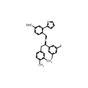 Cc1ccc(CC(=C=Cc2ccc(C=O)cc2-c2ccco2)c2cc(F)cc(F)c2)cc1C